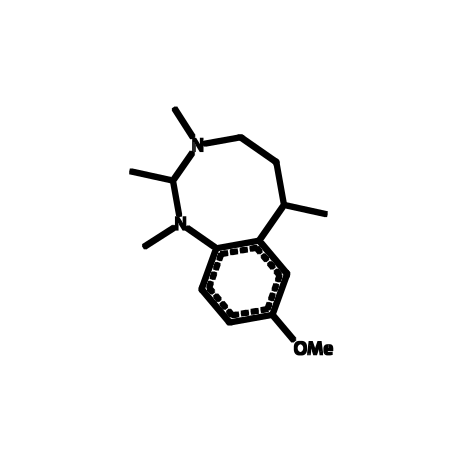 COc1ccc2c(c1)C(C)CCN(C)C(C)N2C